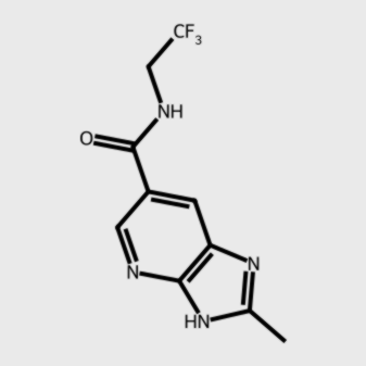 Cc1nc2cc(C(=O)NCC(F)(F)F)cnc2[nH]1